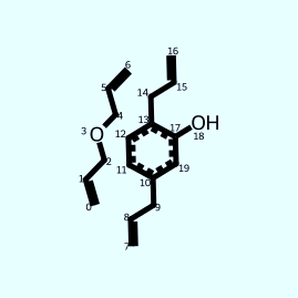 C=CCOCC=C.C=CCc1ccc(CC=C)c(O)c1